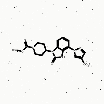 CCOC(=O)c1cnn(-c2cccc3c2[nH]c(=O)n3C2CCN(C(=O)OC(C)(C)C)CC2)c1